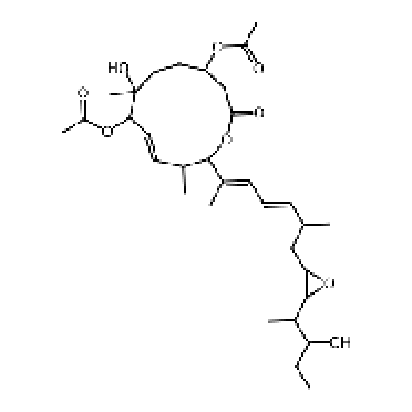 CCC(O)C(C)C1OC1CC(C)/C=C/C=C(\C)C1OC(=O)CC(OC(C)=O)CCC(C)(O)C(OC(C)=O)/C=C/C1C